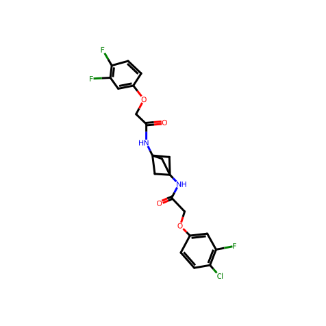 O=C(COc1ccc(F)c(F)c1)NC12CC(NC(=O)COc3ccc(Cl)c(F)c3)(C1)C2